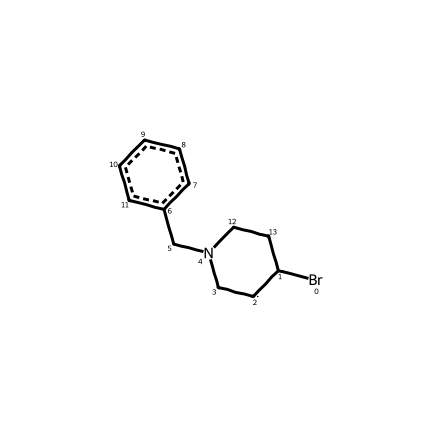 Br[C]1[CH]CN(Cc2ccccc2)CC1